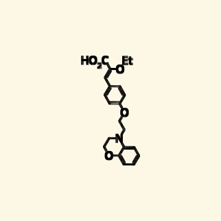 CCOC(=Cc1ccc(OCCN2CCOc3ccccc32)cc1)C(=O)O